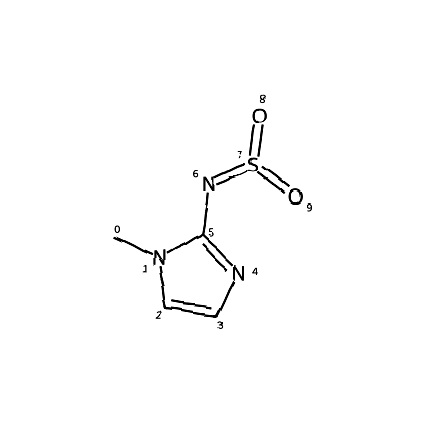 Cn1ccnc1N=S(=O)=O